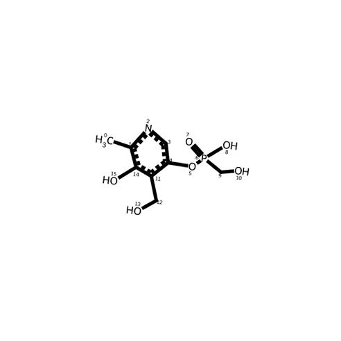 Cc1ncc(OP(=O)(O)CO)c(CO)c1O